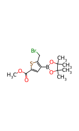 COC(=O)c1cc(B2OC(C)(C)C(C)(C)O2)c(CBr)s1